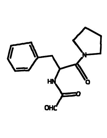 O=CC(=O)NC(Cc1ccccc1)C(=O)N1CCCC1